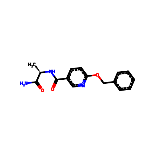 C[C@H](NC(=O)c1ccc(OCc2ccccc2)nc1)C(N)=O